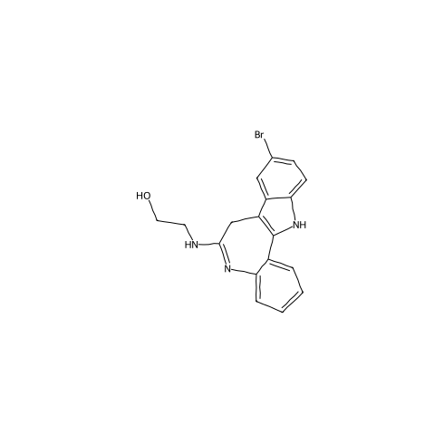 OCCNC1=Nc2ccccc2-c2[nH]c3ccc(Br)cc3c2C1